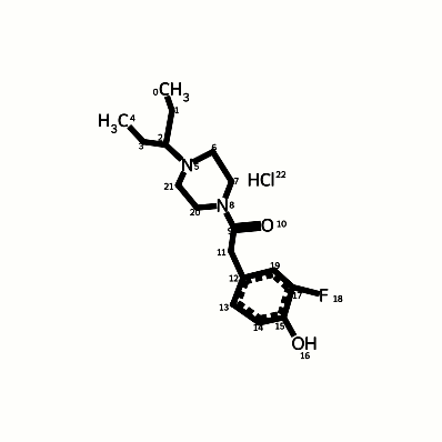 CCC(CC)N1CCN(C(=O)Cc2ccc(O)c(F)c2)CC1.Cl